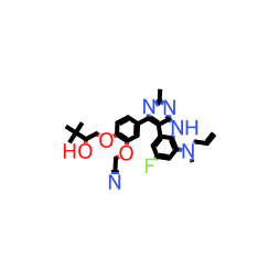 C=CCN(C)c1cc(F)cc2c1[nH]c1nc(C)nc(-c3ccc(OCC(O)C(C)(C)C)c(OCC#N)c3)c12